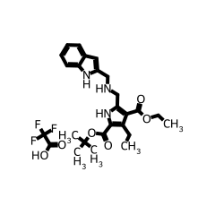 CCOC(=O)c1c(CNCc2cc3ccccc3[nH]2)[nH]c(C(=O)OC(C)(C)C)c1CC.O=C(O)C(F)(F)F